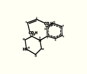 O=C(O)/C=C\C(=O)O.c1ccc(N2CCNCC2)cc1